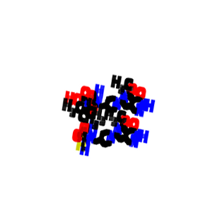 COc1nc(N2CCC(CNN[SH](=O)=O)CC2)cc2cn[nH]c(=O)c12.COc1nc(N2CCC(CNS(=O)(=O)N(C(=O)O)C(C)(C)C)CC2)cc2cn[nH]c(=O)c12